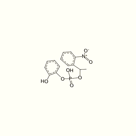 CC(OP(=O)(O)Oc1ccccc1O)c1ccccc1[N+](=O)[O-]